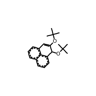 CC(C)(C)OC1=Cc2cccc3cccc(c23)C1OC(C)(C)C